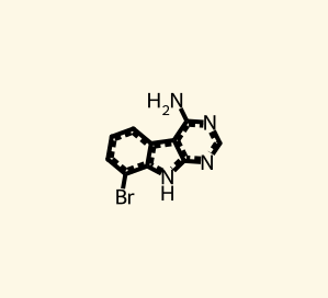 Nc1ncnc2[nH]c3c(Br)cccc3c12